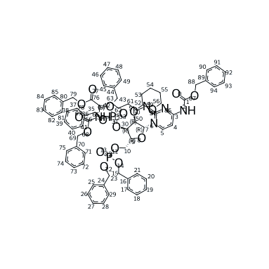 O=C(Nc1ccn([C@@H]2O[C@H](COP(=O)(OCc3ccccc3)OCc3ccccc3)[C@@H](OP(=O)(OCc3ccccc3)OCc3ccccc3)[C@H]2OC2CCCCO2)c(=NCCCC[C@H](NC(=O)OCc2ccccc2)C(=O)OCc2ccccc2)n1)OCc1ccccc1